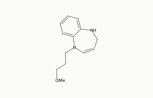 COCCCN1C=CCNc2ccccc21